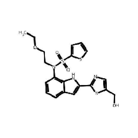 CCOCCN(c1cccc2cc(-c3ncc(CO)s3)[nH]c12)S(=O)(=O)c1cccs1